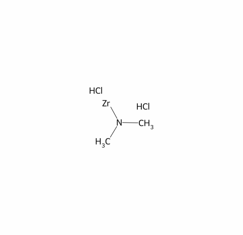 C[N](C)[Zr].Cl.Cl